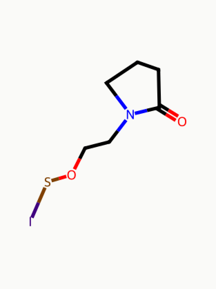 O=C1CCCN1CCOSI